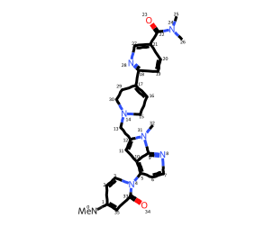 CNc1ccn(-c2ccnc3c2cc(CN2CC=C(c4ccc(C(=O)N(C)C)cn4)CC2)n3C)c(=O)c1